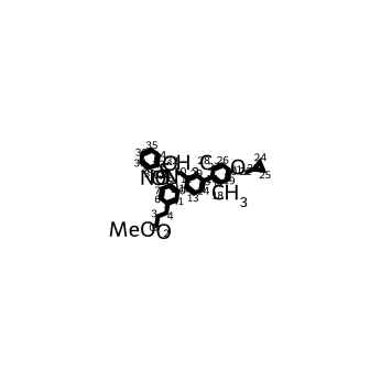 COC(=O)CCc1ccc(N(Cc2cccc(-c3c(C)cc(OCC4CC4)cc3C)c2)S(=O)(=O)c2ccccc2[N+](=O)[O-])cc1